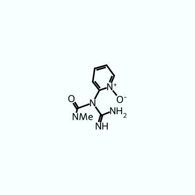 CNC(=O)N(C(=N)N)c1cccc[n+]1[O-]